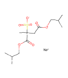 CC(C)COC(=O)CC(C)(C(=O)OCC(C)C)S(=O)(=O)[O-].[Na+]